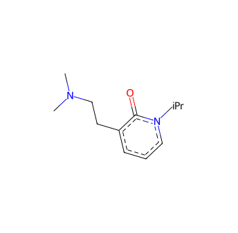 CC(C)n1cccc(CCN(C)C)c1=O